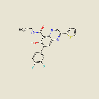 O=C(O)CNC(=O)c1c(O)c(-c2ccc(F)c(F)c2)cc2nc(-c3cccs3)cnc12